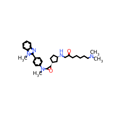 CN(C)CCCCCC(=O)CN[C@H]1CC[C@@H](C2OC2N(C)c2ccc(-c3nc4ccccc4n3C)cc2)C1